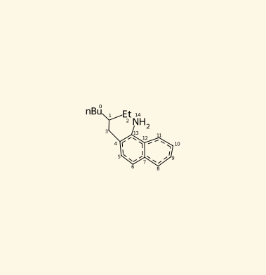 CCCCC(CC)Cc1ccc2ccccc2c1N